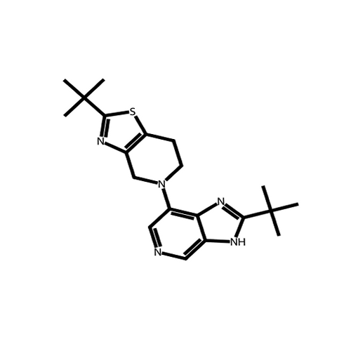 CC(C)(C)c1nc2c(N3CCc4sc(C(C)(C)C)nc4C3)cncc2[nH]1